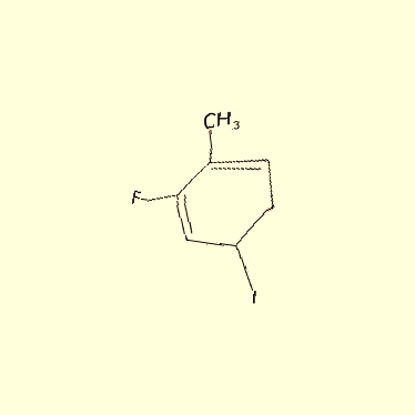 CC1=CCC(I)C=C1F